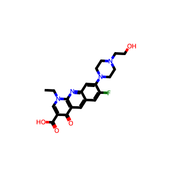 CCn1cc(C(=O)O)c(=O)c2cc3cc(F)c(N4CCN(CCO)CC4)cc3nc21